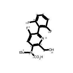 CC(C)(C)N(C(=O)O)c1cc(F)c(-c2c(F)cccc2F)nc1CO